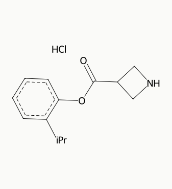 CC(C)c1ccccc1OC(=O)C1CNC1.Cl